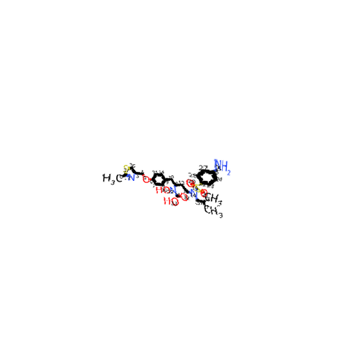 Cc1nc(COc2ccc(CC(CCN(CC(C)C)S(=O)(=O)c3ccc(N)cc3)N(O)C(=O)O)cc2)cs1